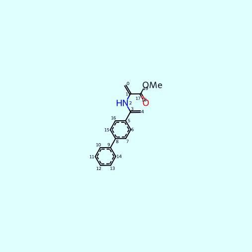 C=C(NC(=C)c1ccc(-c2ccccc2)cc1)C(=O)OC